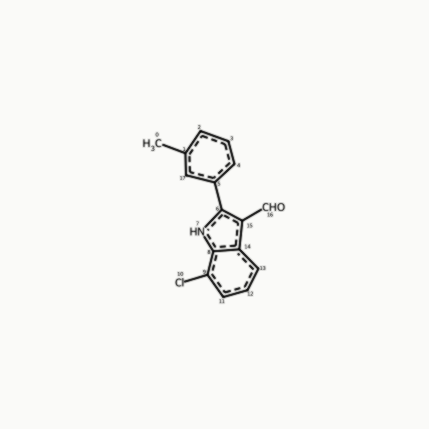 Cc1cccc(-c2[nH]c3c(Cl)cccc3c2C=O)c1